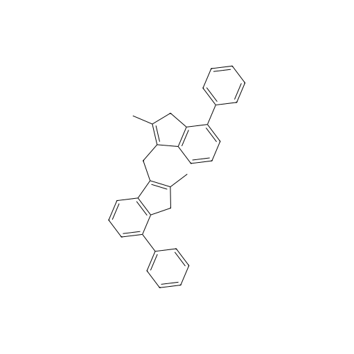 CC1=C(CC2=C(C)Cc3c2cccc3-c2ccccc2)c2cccc(-c3ccccc3)c2C1